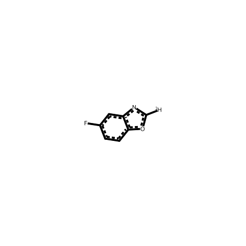 [2H]c1nc2cc(F)ccc2o1